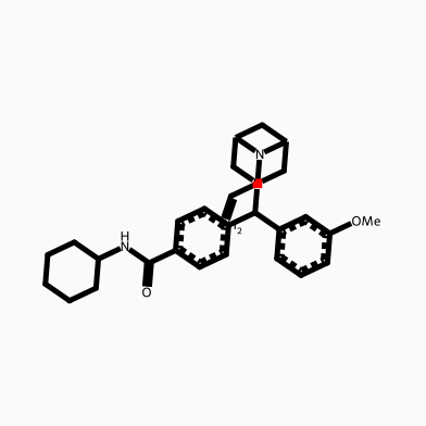 C=CCN1C2CC1CN(C(c1ccc(C(=O)NC3CCCCC3)cc1)c1cccc(OC)c1)C2